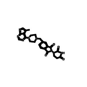 Cc1csc2ncnc(N3CCN(Cc4ccc5c(c4)C(=O)N(N4CCC(=O)NC4=O)C5=O)CC3)c12